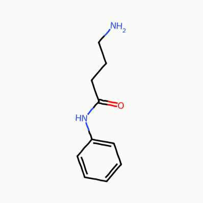 NCCCC(=O)Nc1ccccc1